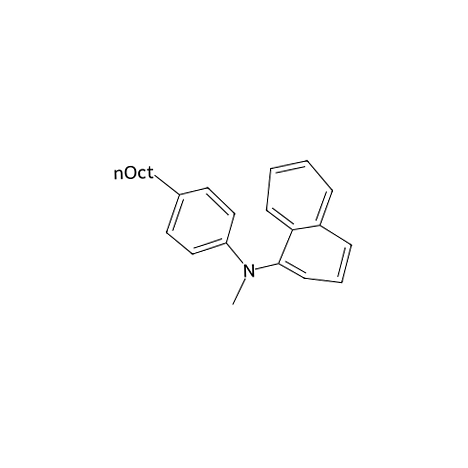 CCCCCCCCc1ccc(N(C)c2cccc3ccccc23)cc1